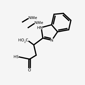 CNC.CNC.O=C(S)CC(C(=O)O)c1nc2ccccc2[nH]1